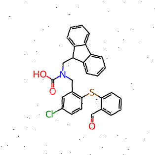 O=Cc1ccccc1Sc1ccc(Cl)cc1CN(CC1c2ccccc2-c2ccccc21)C(=O)O